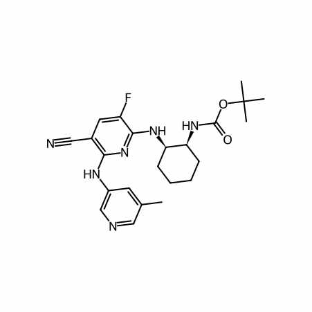 Cc1cncc(Nc2nc(N[C@@H]3CCCC[C@@H]3NC(=O)OC(C)(C)C)c(F)cc2C#N)c1